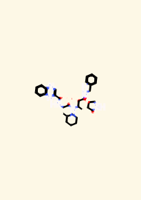 O=C(NCc1ccccc1)C(=O)C(C[C@@H]1CCNC1=O)NC(=O)[C@H](CC1CCCCC1)NC(=O)c1cnc2ccccc2n1